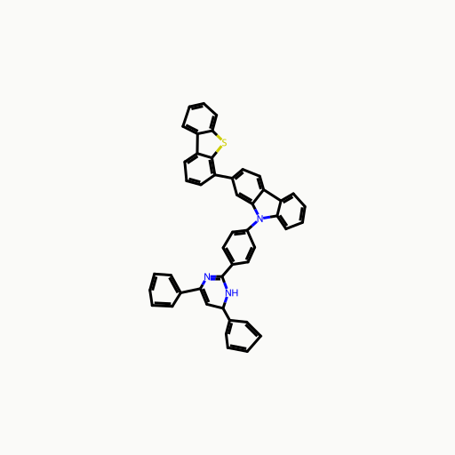 C1=C(c2ccccc2)N=C(c2ccc(-n3c4ccccc4c4ccc(-c5cccc6c5sc5ccccc56)cc43)cc2)NC1c1ccccc1